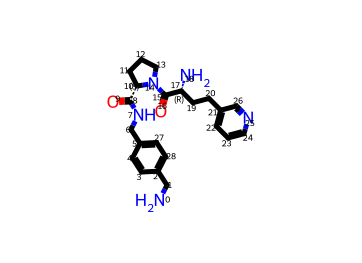 NCc1ccc(CNC(=O)[C@@H]2CCCN2C(=O)[C@H](N)CCc2cccnc2)cc1